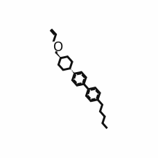 C=CCOC[C@H]1CC[C@H](c2ccc(-c3ccc(CCCCC)cc3)cc2)CC1